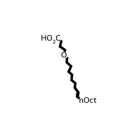 CCCCCCCCC=CCCCCCCCCOCCCC(=O)O